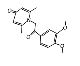 COc1ccc(C(=O)Cn2c(C)cc(=O)cc2C)cc1OC